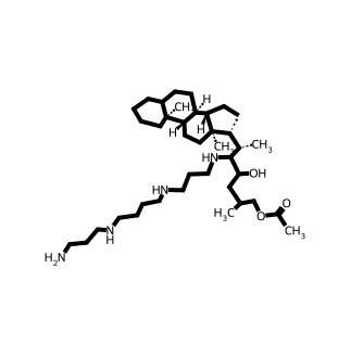 CC(=O)OCC(C)CC(O)C(NCCCNCCCCNCCCN)[C@@H](C)[C@H]1CC[C@H]2[C@@H]3CCC4CCCC[C@]4(C)[C@H]3CC[C@]12C